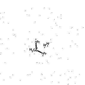 CC[CH2][GeH2][CH2]CC.[H-].[H-]